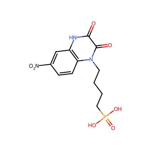 O=c1[nH]c2cc([N+](=O)[O-])ccc2n(CCCCP(=O)(O)O)c1=O